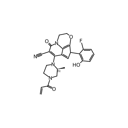 C=CC(=O)N1CCN(c2c(C#N)c(=O)n3c4c2=CC(c2c(O)cccc2F)C=4OCC3)[C@@H](C)C1